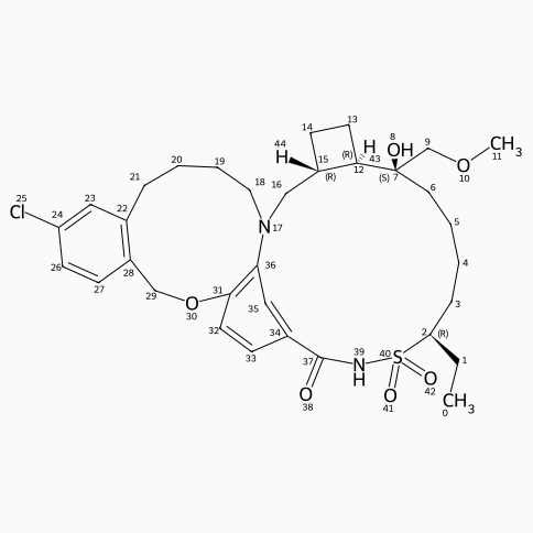 CC[C@@H]1CCCC[C@@](O)(COC)[C@@H]2CC[C@H]2CN2CCCCc3cc(Cl)ccc3COc3ccc(cc32)C(=O)NS1(=O)=O